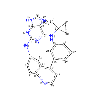 O=C(O)C1(Nc2nc(Nc3ccc4nccc(-c5ccccc5)c4c3)nc3[nH]cnc23)CC1